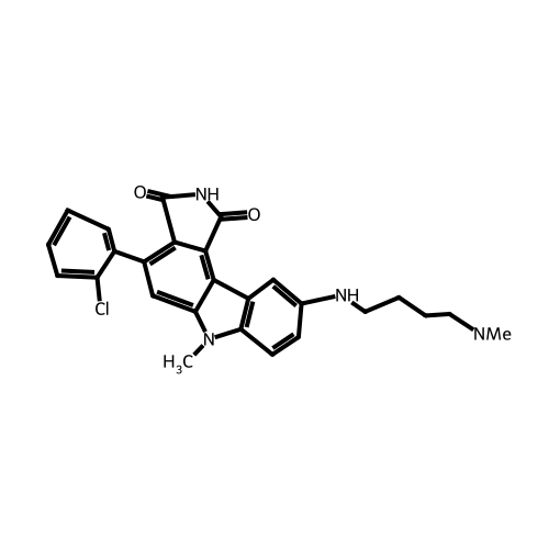 CNCCCCNc1ccc2c(c1)c1c3c(c(-c4ccccc4Cl)cc1n2C)C(=O)NC3=O